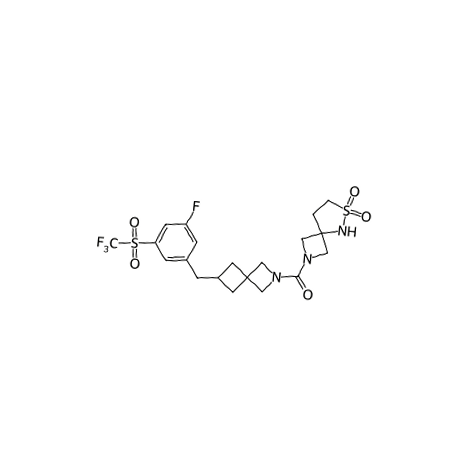 O=C(N1CC2(CC(Cc3cc(F)cc(S(=O)(=O)C(F)(F)F)c3)C2)C1)N1CC2(CCS(=O)(=O)N2)C1